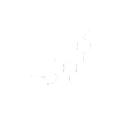 CN1CCN(Cc2cc(O)c(N3CC(=O)N(C)S3(=O)=O)c(P)c2)CC1